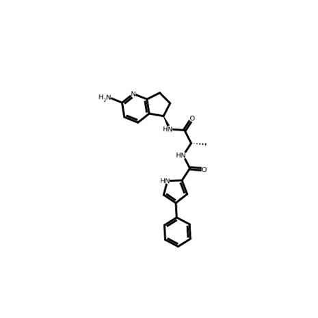 C[C@H](NC(=O)c1cc(-c2ccccc2)c[nH]1)C(=O)N[C@@H]1CCc2nc(N)ccc21